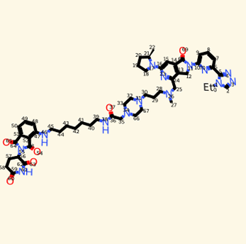 CCn1cnnc1-c1cccc(N2Cc3c(cc(N4CCC[C@H]4C)nc3CN(C)CCCN3CCN(CC(=O)NCCCCCCCNc4cccc5c4C(=O)N(C4CCC(=O)NC4=O)C5=O)CC3)C2=O)n1